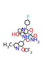 Cc1cnc2c(OC(F)(F)F)cc(C(=O)NC[C@](O)(c3cc4c(c(-c5ccc(F)cc5)n3)OC[C@]4(F)C(N)=O)C(F)(F)F)cc2c1